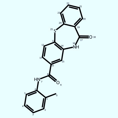 Cc1ccccc1NC(=O)c1ccc2c(c1)NC(=O)c1ccccc1S2